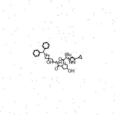 CC(C)(C)C(C(=O)N1CC(O)CC1C(=O)NCCC1(O)CN(C(c2ccccc2)c2ccccc2)C1)n1cc(C2CC2)nn1